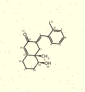 C[C@]12C/C(=C\c3ccccc3I)C(=O)C=C1CCC[C@@H]2O